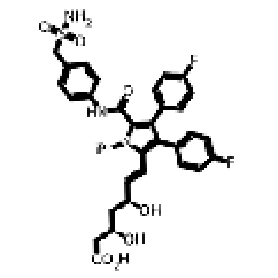 CC(C)n1c(C=C[C@@H](O)C[C@@H](O)CC(=O)O)c(-c2ccc(F)cc2)c(-c2ccc(F)cc2)c1C(=O)Nc1ccc(CS(N)(=O)=O)cc1